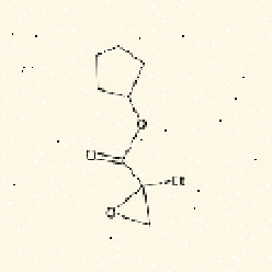 CCC1(C(=O)OC2CCCC2)CO1